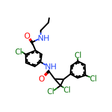 CCCNC(=O)c1cc(NC(=O)C2C(c3cc(Cl)cc(Cl)c3)C2(Cl)Cl)ccc1Cl